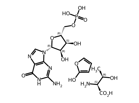 C[C@@H](O)[C@H](N)C(=O)O.Nc1nc2c(ncn2[C@@H]2O[C@H](COP(=O)(O)O)[C@@H](O)[C@H]2O)c(=O)[nH]1.Oc1ccco1